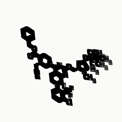 CN1C[C@H](O[Si](C)(C)C(C)(C)C)C[C@H]1COc1nc2c(c(N3CCN(C(=O)OCc4ccccc4)[C@@H](CC#N)C3)n1)CCN(c1cccc(Cl)c1C(F)(F)F)C2